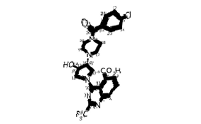 O=C(O)c1cccc2nc(C(F)(F)F)nc(N3C[C@@H](O)[C@H](N4CCN(C(=O)c5ccc(Cl)cc5)CC4)C3)c12